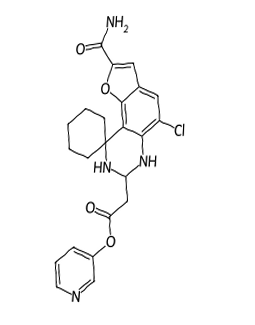 NC(=O)c1cc2cc(Cl)c3c(c2o1)C1(CCCCC1)NC(CC(=O)Oc1cccnc1)N3